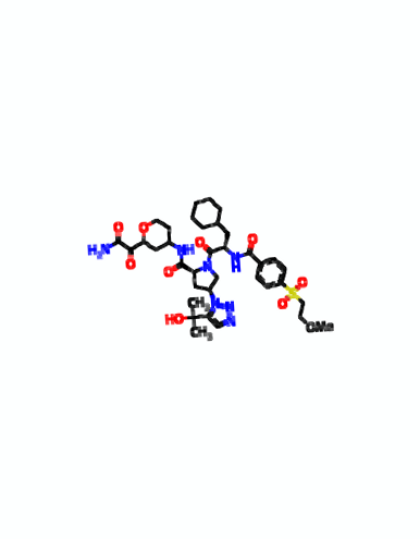 COCCS(=O)(=O)c1ccc(C(=O)N[C@H](CC2CCCCC2)C(=O)N2C[C@@H](n3nncc3C(C)(C)O)C[C@H]2C(=O)NC2CCOC(C(=O)C(N)=O)C2)cc1